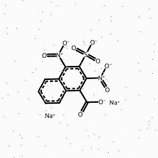 O=C([O-])c1c([N+](=O)[O-])c(S(=O)(=O)[O-])c([N+](=O)[O-])c2ccccc12.[Na+].[Na+]